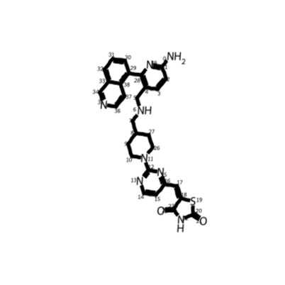 Nc1ccc(CNCC2CCN(c3nccc(C=C4SC(=O)NC4=O)n3)CC2)c(-c2cccc3cnccc23)n1